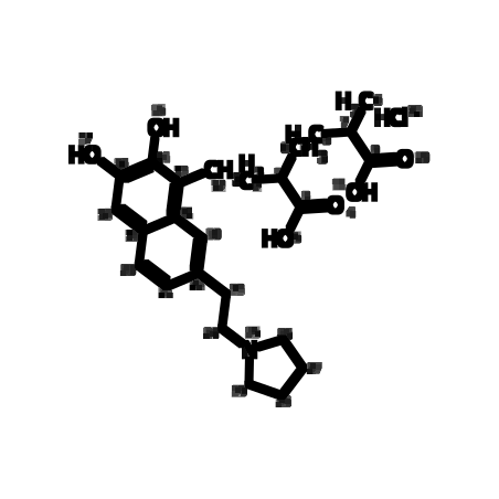 CC(C)C(=O)O.CC(C)C(=O)O.Cc1c(O)c(O)cc2ccc(CCN3CCCC3)cc12.Cl